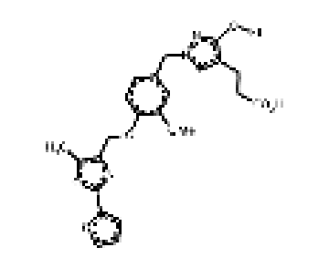 CCOc1nn(Cc2ccc(OCc3nc(-c4ccco4)oc3C)c(OC)c2)cc1CCC(=O)O